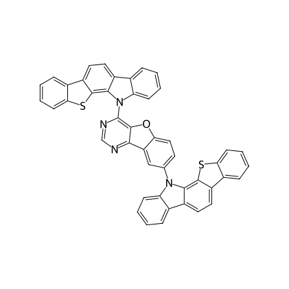 c1ccc2c(c1)sc1c2ccc2c3ccccc3n(-c3ccc4oc5c(-n6c7ccccc7c7ccc8c9ccccc9sc8c76)ncnc5c4c3)c21